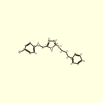 Fc1ccc(OCc2nnc(SCCCc3ccccc3)o2)cc1